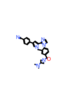 CN(C)C1CN(C(=O)c2ccc3c(c2)Cn2cc(-c4ccc(C#N)cc4)cc2-c2nccn2-3)C1